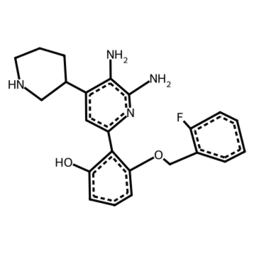 Nc1nc(-c2c(O)cccc2OCc2ccccc2F)cc(C2CCCNC2)c1N